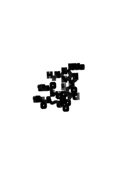 CNc1nc(N)nc2c1ncn2[C@@H]1O[C@]2(Cl)C(OP(=O)(OCCSC(=O)C(C)(C)C)OCCSC(=O)C(C)(C)C)[C@]2(O)[C@@H]1F